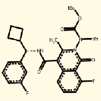 CCCN(C(=O)OC(C)(C)C)n1c(C)c(C(=O)N[C@H](c2cccc(F)c2)C2CCC2)c2cccc(F)c2c1=O